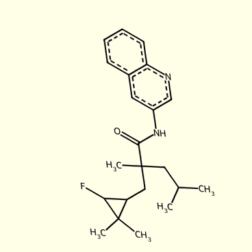 CC(C)CC(C)(CC1C(F)C1(C)C)C(=O)Nc1cnc2ccccc2c1